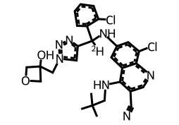 [2H]C(Nc1cc(Cl)c2ncc(C#N)c(NCC(C)(C)C)c2c1)(c1cn(CC2(O)COC2)nn1)c1ccccc1Cl